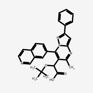 Cc1nc2cc(-c3ccccc3)nn2c(-c2ccc3ccncc3c2)c1C(OC(C)(C)C)C(=O)O